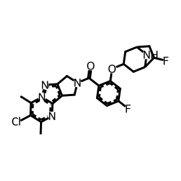 Cc1nc2c3c(nn2c(C)c1Cl)CN(C(=O)c1ccc(F)cc1OC1CC2CC(F)C(C1)N2)C3